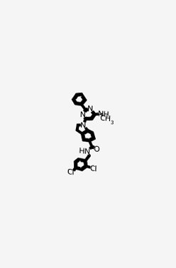 CNc1cc(N2CCc3cc(C(=O)NCc4ccc(Cl)cc4Cl)ccc32)nc(-c2ccccc2)n1